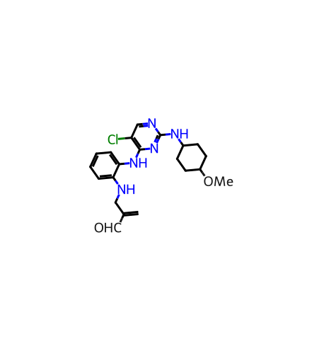 C=C(C=O)CNc1ccccc1Nc1nc(NC2CCC(OC)CC2)ncc1Cl